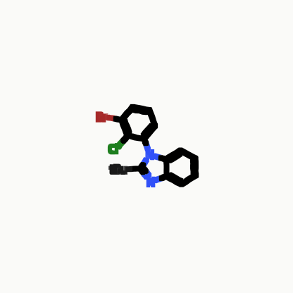 CC(C)(C)c1nc2ccccc2n1-c1cccc(Br)c1Cl